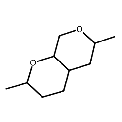 CC1CC2CCC(C)OC2CO1